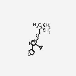 C[Si](C)(C)CCOCn1cnc(C2=CCOC2)c1C1CC1